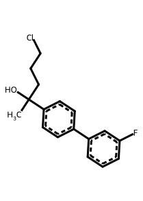 CC(O)(CCCCl)c1ccc(-c2cccc(F)c2)cc1